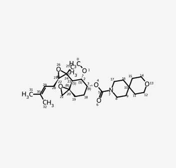 CO[C@@H]1[C@H](OC(=O)N2CCC3(CCOCC3)CC2)CC[C@]2(CO2)[C@H]1[C@@]1(C)O[C@@H]1CC=C(C)C